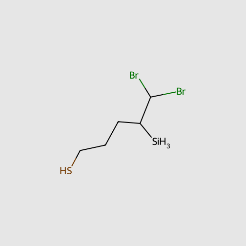 [SiH3]C(CCCS)C(Br)Br